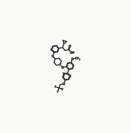 COc1ccc(-c2ncc(OCC(F)(F)F)cn2)c(O[P@]2CC[C@H](Oc3cc(C(CC(=O)O)C4CC4)ccn3)CC2)c1